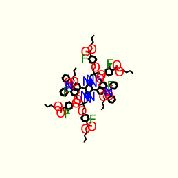 CCCCOC(=O)c1ccc(OCC(COc2ccc(C(=O)OCCCC)c(F)c2)(COc2ccc(C(=O)OCCCC)c(F)c2)Cn2nc3c(-c4ccc(N(c5ccccc5)c5ccccc5)cc4)c4n[n+](CC(COc5ccc(C(=O)OCCCC)c(F)c5)(COc5ccc(C(=O)OCCCC)c(F)c5)COc5ccc(C(=O)OCCCC)c(F)c5)[n-]c4c(-c4ccc(N(c5ccccc5)c5ccccc5)cc4)c3n2)cc1F